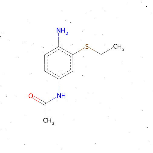 CCSc1cc(NC(C)=O)ccc1N